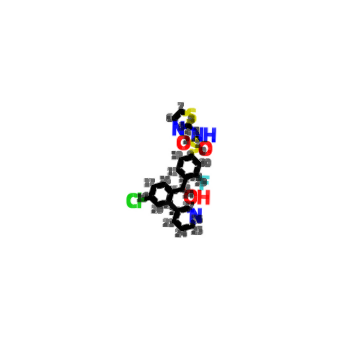 O=S(=O)(Nc1nccs1)c1ccc(C(O)c2ccc(Cl)cc2-c2cccnc2)c(F)c1